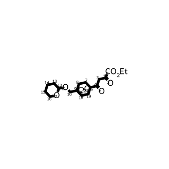 CCOC(=O)C(=O)CC(=O)C12CCC(COC3CCCCO3)(CC1)CC2